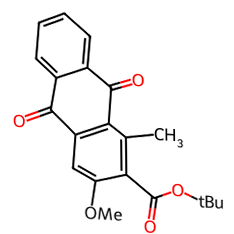 COc1cc2c(c(C)c1C(=O)OC(C)(C)C)C(=O)c1ccccc1C2=O